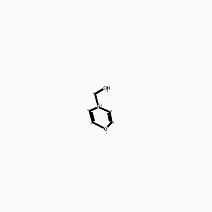 OCN1C=COC=C1